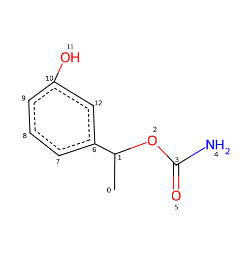 CC(OC(N)=O)c1cccc(O)c1